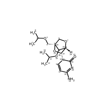 CC(C)OC[C@]12CO[C@@H](C1OC(C)C)[C@H](n1ccc(N)nc1=O)O2